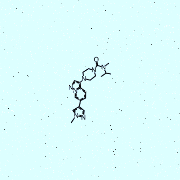 CC(C)N(C)C(=O)N1CCN(c2cnn3cc(-c4cnn(C)c4)ccc23)CC1